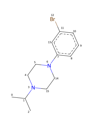 CC(C)N1CCN(c2cccc(Br)c2)CC1